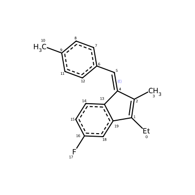 CCC1=C(C)/C(=C/c2ccc(C)cc2)c2ccc(F)cc21